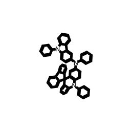 c1ccc(N(c2ccc3c(c2)C2(c4ccccc4-c4ccccc42)c2ccccc2N3c2ccccc2)c2ccc3c(c2)c2ccccc2n3-c2ccccc2)cc1